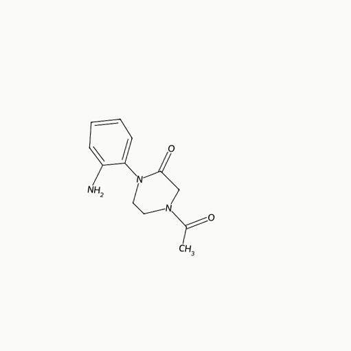 CC(=O)N1CCN(c2ccccc2N)C(=O)C1